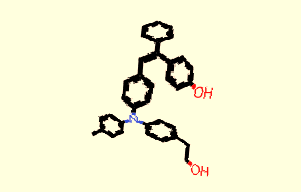 Cc1ccc(N(c2ccc(C=C(c3ccccc3)c3ccc(O)cc3)cc2)c2ccc(CCO)cc2)cc1